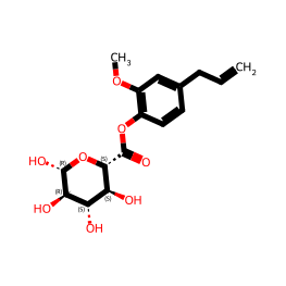 C=CCc1ccc(OC(=O)[C@H]2O[C@@H](O)[C@H](O)[C@@H](O)[C@@H]2O)c(OC)c1